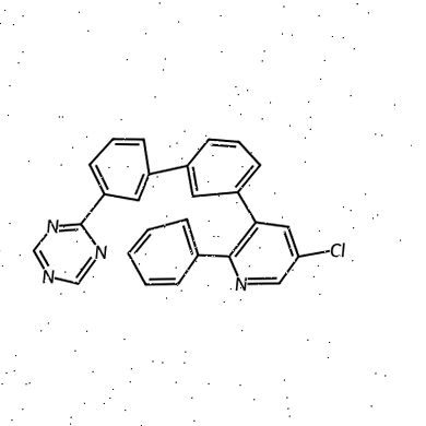 Clc1cnc(-c2ccccc2)c(-c2cccc(-c3cccc(-c4ncncn4)c3)c2)c1